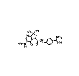 CCCNc1cnc2n(c1=O)C(C(=O)NCc1ccc(C(=N)N)cc1)CC2(CCC)CCC